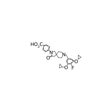 O=C(O)c1ccc(N2CC3(CCN(Cc4cc(OC5CC5)c(F)c(OC5CC5)c4)CC3)CC2=O)cc1